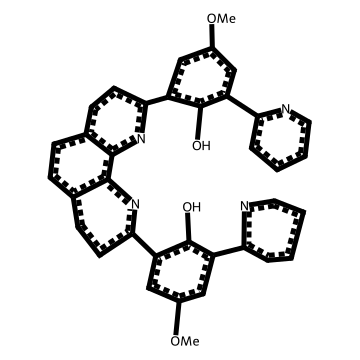 COc1cc(-c2ccccn2)c(O)c(-c2ccc3ccc4ccc(-c5cc(OC)cc(-c6ccccn6)c5O)nc4c3n2)c1